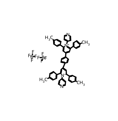 Cc1ccc(-c2cc(-c3ccc(-c4cc(-c5ccc(C)cc5)[n+](-c5ccncc5)c(-c5ccc(C)cc5)c4)cc3)cc(-c3ccc(C)cc3)[n+]2-c2ccncc2)cc1.F[B-](F)(F)F.F[B-](F)(F)F